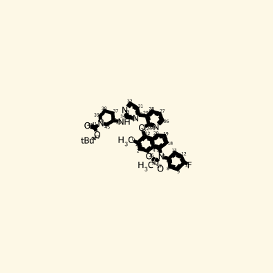 Cc1ccc2c(N(c3ccc(F)cc3)S(C)(=O)=O)cccc2c1Oc1ncccc1-c1ccnc(NC2CCCN(C(=O)OC(C)(C)C)C2)n1